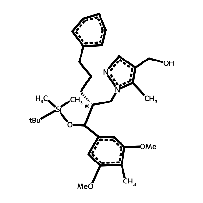 COc1cc(C(O[Si](C)(C)C(C)(C)C)[C@H](CCCc2ccccc2)Cn2ncc(CO)c2C)cc(OC)c1C